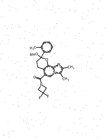 COC1(c2ccccc2C)CCc2c(C(=O)N3CC(F)(F)C3)cn3c(C)c(C)nc3c2O1